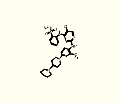 CCOc1nc(N2CCC(N3CCCCC3)CC2)ccc1Nc1ncc(Cl)c(Nc2ccccc2S(=O)(=O)NC)n1